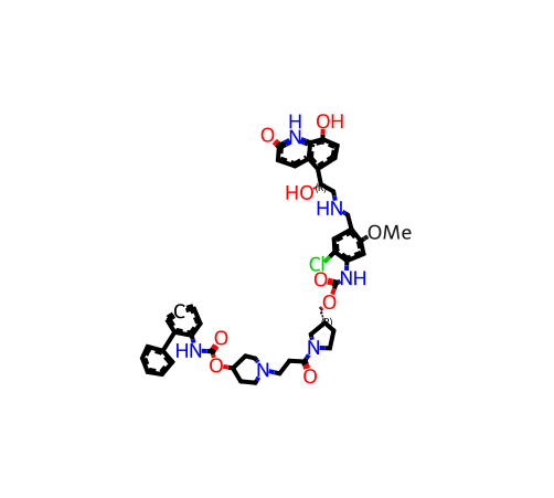 COc1cc(NC(=O)OC[C@@H]2CCN(C(=O)CCN3CCC(OC(=O)Nc4ccccc4-c4ccccc4)CC3)C2)c(Cl)cc1CNC[C@H](O)c1ccc(O)c2[nH]c(=O)ccc12